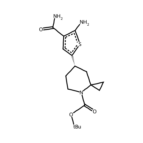 CC(C)(C)OC(=O)N1CC[C@H](c2cc(C(N)=O)c(N)s2)CC12CC2